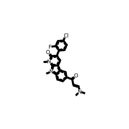 CN(C)C=CC(=O)c1ccc2c(c1)c1cc(-c3ccc(Cl)cc3F)c(=O)n(C)c1n2C